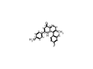 CC1=C(c2ccc(F)cc2F)N2NC(c3ccc(N)cc3)=CC(=O)C2=NC1